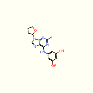 Oc1cc(O)cc(Nc2nc(I)nc3c2ncn3C2CCCO2)c1